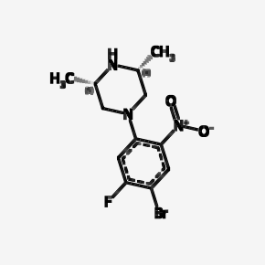 C[C@@H]1CN(c2cc(F)c(Br)cc2[N+](=O)[O-])C[C@H](C)N1